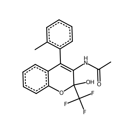 CC(=O)NC1=C(c2ccccc2C)c2ccccc2OC1(O)C(F)(F)F